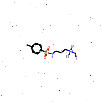 CC[N+](CC)(CI)CCCNS(=O)(=O)c1ccc(C)cc1